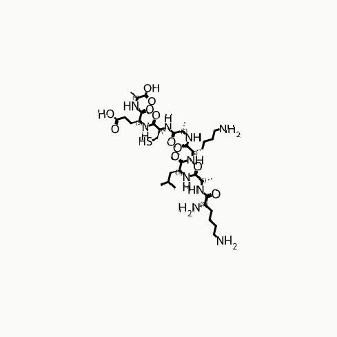 CC(C)C[C@H](NC(=O)[C@H](C)NC(=O)[C@@H](N)CCCCN)C(=O)N[C@@H](CCCCN)C(=O)N[C@@H](C)C(=O)N[C@@H](CS)C(=O)N[C@@H](CCC(=O)O)C(=O)N[C@@H](C)C(=O)O